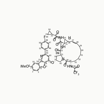 COc1ccc2oc3c(O[C@@H]4C[C@H]5C(=O)N[C@]6(C(=O)NS(=O)(=O)C7CC7)C[C@H]6/C=C\CCCCC[C@H](NC(=O)C(F)(F)F)C(=O)N5C4)cc(-c4ccc(F)cc4)nc3c2c1